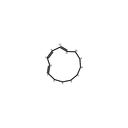 C1=C\C=C\CCCCCCC/C=C/1